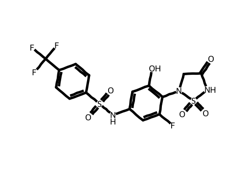 O=C1CN(c2c(O)cc(NS(=O)(=O)c3ccc(C(F)(F)F)cc3)cc2F)S(=O)(=O)N1